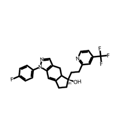 O[C@@]1(CCc2cc(C(F)(F)F)ccn2)CCC2=Cc3c(cnn3-c3ccc(F)cc3)CC21